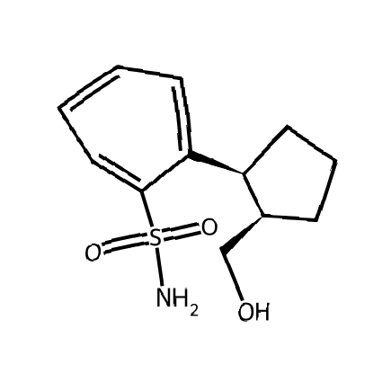 NS(=O)(=O)c1ccccc1[C@H]1CCC[C@H]1CO